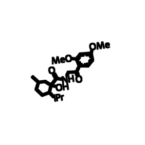 COc1ccc(C(=O)CNC(=O)C2(O)CC(C)CCC2C(C)C)c(OC)c1